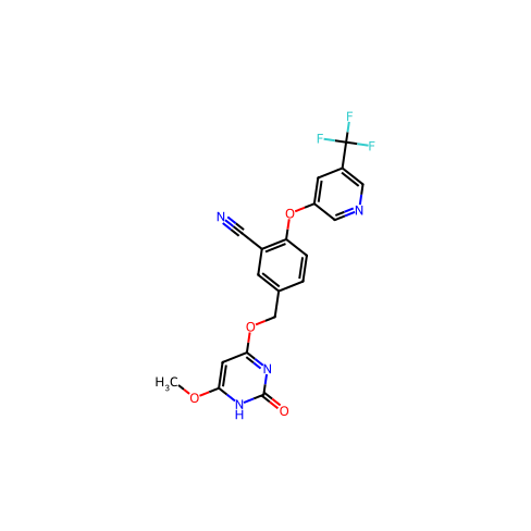 COc1cc(OCc2ccc(Oc3cncc(C(F)(F)F)c3)c(C#N)c2)nc(=O)[nH]1